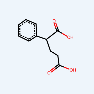 O=C(O)CCC(C(=O)O)c1ccccc1